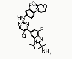 CC(C)n1c(C(C)(C)N)nc2c(F)cc(-c3nc(Nc4ccc(N5CCOCC5=O)c(F)c4)ncc3Cl)cc21